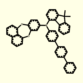 CC1(C)c2ccccc2-c2c(N(c3ccc(-c4ccc(-c5ccccc5)cc4)cc3)c3ccc4c(c3)Oc3cccc5cccc(c35)O4)cccc21